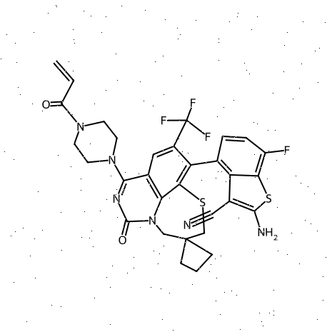 C=CC(=O)N1CCN(c2nc(=O)n3c4c(c(-c5ccc(F)c6sc(N)c(C#N)c56)c(C(F)(F)F)cc24)SCC2(CCC2)C3)CC1